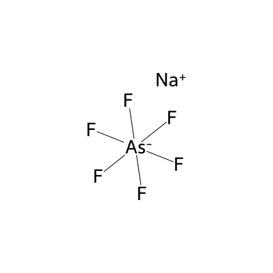 F[As-](F)(F)(F)(F)F.[Na+]